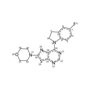 Fc1ccc2c(c1)CCN2c1ncnc2sc(N3CCOCC3)nc12